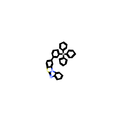 c1ccc([Si](c2ccccc2)(c2ccccc2)c2cccc(-c3ccc4sc5nc6ccccc6n5c4c3)c2)cc1